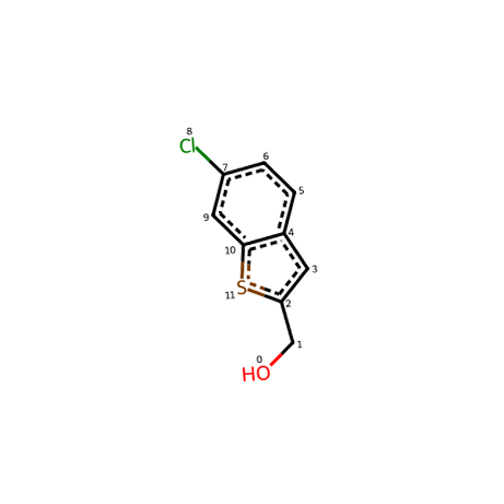 OCc1cc2ccc(Cl)cc2s1